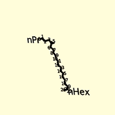 [CH2]CCC=CCC(C)CCCCCCCCCCCCCCC(C)CCCCC[CH2]